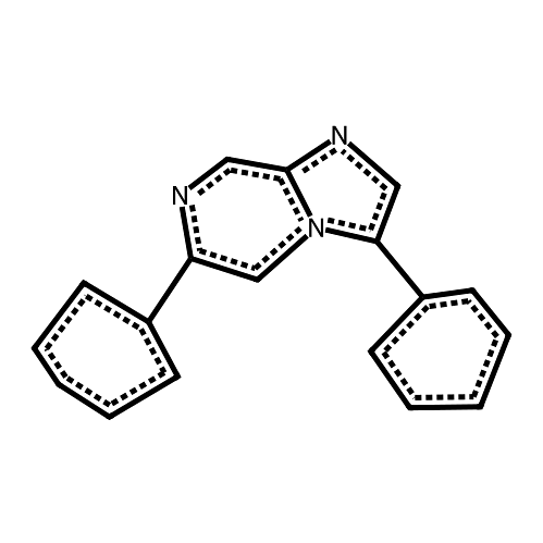 c1ccc(-c2cn3c(-c4ccccc4)cnc3cn2)cc1